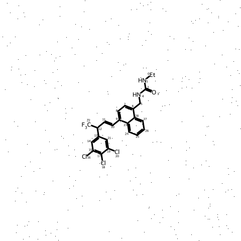 CCNC(=O)NCc1ccc(C=CC(c2cc(Cl)c(Cl)c(Cl)c2)C(F)(F)F)c2ccccc12